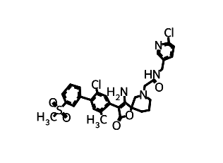 Cc1cc(-c2cccc(S(C)(=O)=O)c2)c(Cl)cc1C1=C(N)C2(CCCN(CC(=O)NCc3ccc(Cl)nc3)C2)OC1=O